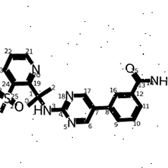 CC(C)(Nc1ncc(-c2cccc(C(N)=O)c2)cn1)c1ncccc1S(C)(=O)=O